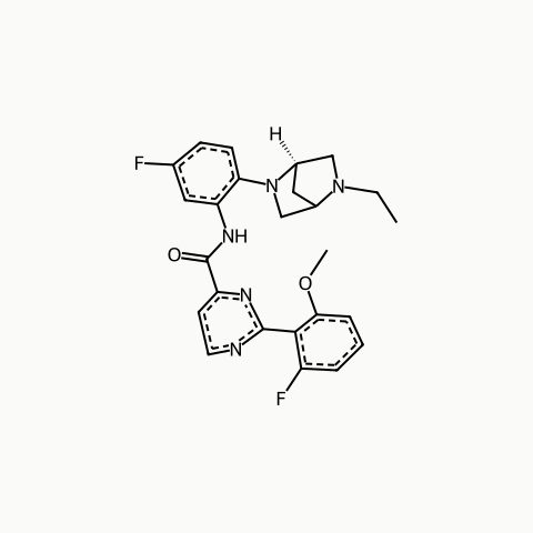 CCN1C[C@H]2CC1CN2c1ccc(F)cc1NC(=O)c1ccnc(-c2c(F)cccc2OC)n1